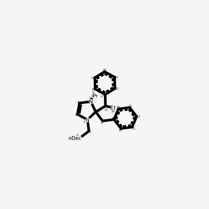 CCCCCCCCCCCN1C=CN(C(C)C)C1(Cc1ccccc1)C(CC)c1ccccc1